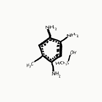 Cc1cc(N)c(N)cc1N.O=S(=O)(O)O